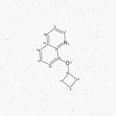 c1cnc2c(OC3CCC3)cccc2c1